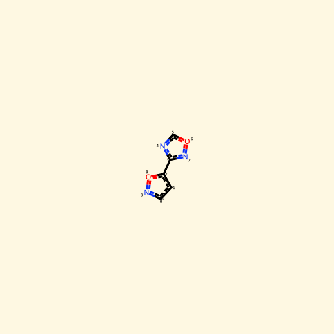 [c]1cc(-c2ncon2)on1